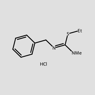 CCSC(=NCc1ccccc1)NC.Cl